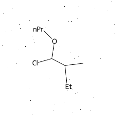 CCCOC(Cl)C(C)CC